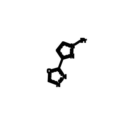 CC(C)n1ccc(-c2nnco2)n1